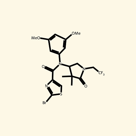 COc1cc(OC)cc(N(C(=O)c2csc(Br)n2)C2CN(CC(F)(F)F)C(=O)C2(C)C)c1